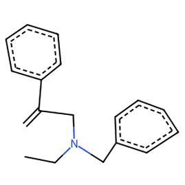 C=C(CN(CC)Cc1ccccc1)c1ccccc1